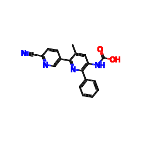 Cc1cc(NC(=O)O)c(-c2ccccc2)nc1-c1ccc(C#N)nc1